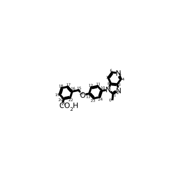 Cc1nc2cnccc2n1-c1ccc(OCc2cccc(C(=O)O)c2)cc1